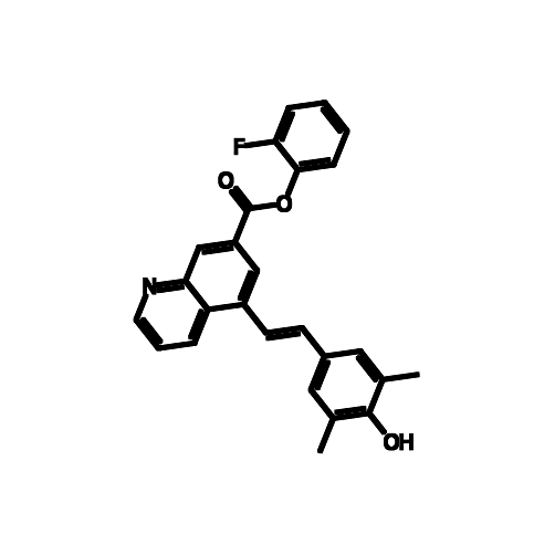 Cc1cc(/C=C/c2cc(C(=O)Oc3ccccc3F)cc3ncccc23)cc(C)c1O